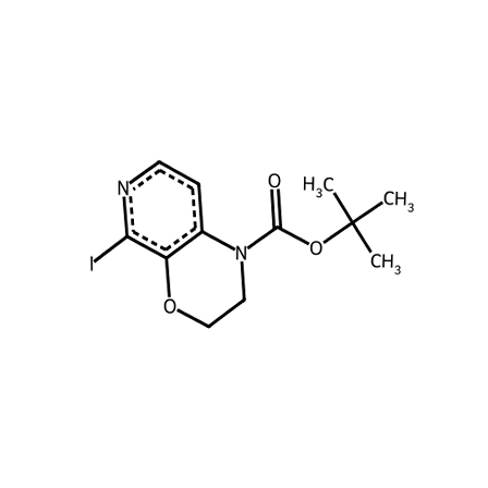 CC(C)(C)OC(=O)N1CCOc2c1ccnc2I